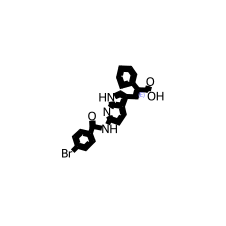 O=C(O)/C(=C/c1c[nH]c2nc(NC(=O)c3ccc(Br)cc3)ccc12)c1ccccc1